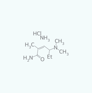 CCC(C=C(C)C(N)=O)N(C)C.Cl.N